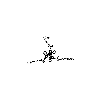 CCCCCCCCCCCCCCCCCCOC(=O)CCc1ccc(OP(Oc2ccc(CCC(=O)OCCCCCCCCCCCCCCCCCC)cc2C2(C)CCCCC2)Oc2ccc(CCC(=O)OCCCCCCCCCCCCCCCCCC)cc2C2(C)CCCCC2)c(C2(C)CCCCC2)c1